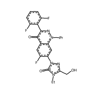 CCn1c(CO)nn(-c2cc3c(cc2F)c(=O)c(-c2c(F)cccc2F)nn3C(C)C)c1=O